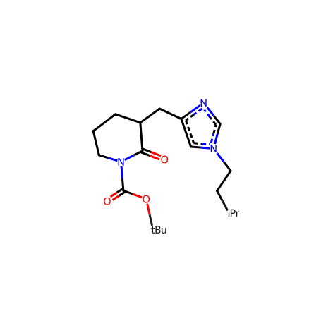 CC(C)CCn1cnc(CC2CCCN(C(=O)OC(C)(C)C)C2=O)c1